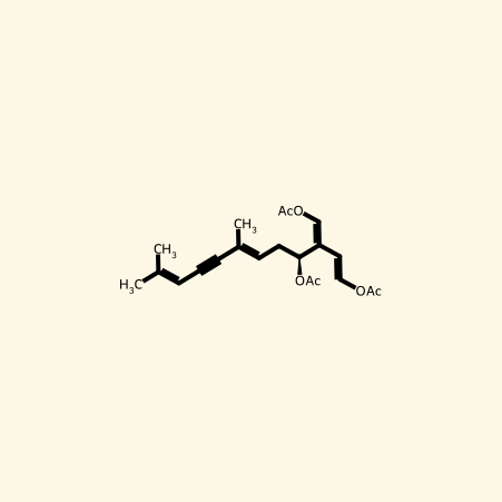 CC(=O)O/C=C(/C=C/OC(C)=O)[C@H](C/C=C(\C)C#CC=C(C)C)OC(C)=O